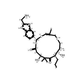 CCC[C@H]1C(=O)C(C)(C)[C@@H](O)CC(=O)O[C@H](c2ccc3oc(CN)nc3c2)CC=C(C)CCC[C@H](C)[C@@H]1O